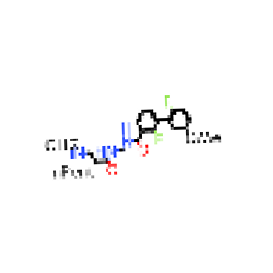 CCCCC[C@H](CNC=O)C(=O)NCNC(=O)c1cccc(-c2cc(OC)ccc2F)c1F